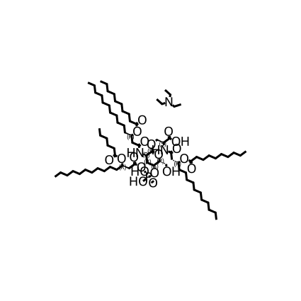 CCCCCCCCCCC[C@H](CC(=O)N[C@H]1[C@@H](OC[C@H](NC(=O)C[C@@H](CCCCCCCCCCC)OC(=O)CCCCCCCCC)C(=O)O)O[C@H](CO)[C@@H](OP(=O)(O)O)[C@@H]1OC(=O)C[C@@H](CCCCCCCCCCC)OC(=O)CCCCC)OC(=O)CCCCCCCCC.CCN(CC)CC